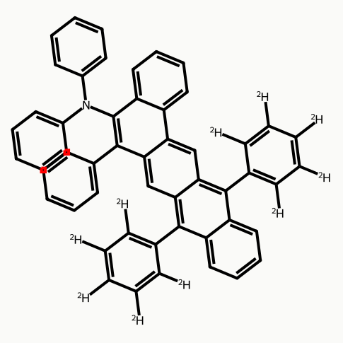 [2H]c1c([2H])c([2H])c(-c2c3ccccc3c(-c3c([2H])c([2H])c([2H])c([2H])c3[2H])c3cc4c(cc23)c(-c2ccccc2)c(N(c2ccccc2)c2ccccc2)c2ccccc24)c([2H])c1[2H]